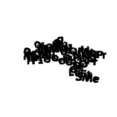 CC[C@H](C)[C@@H]([C@@H](CC(=O)N1CCC[C@H]1[C@H](OC)C(C)C(=O)NS(=O)(=O)c1ccc(C2(NC(=O)[C@H](CCCNC(N)=O)NC(=O)[C@@H](NC(=O)CCOCCOCCOCCN3C(=O)CC(C(CC)(CC)SC)C3=O)C(C)C)CC2)cc1)OC)N(C)C(=O)[C@@H](NC(=O)[C@H](C(C)C)N(C)C)C(C)C